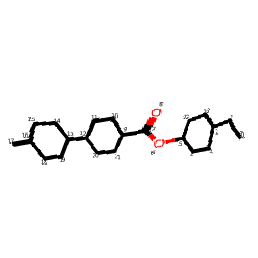 CCC1CCC(OC(=O)C2CCC(C3CCC(C)CC3)CC2)CC1